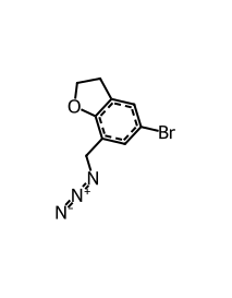 [N-]=[N+]=NCc1cc(Br)cc2c1OCC2